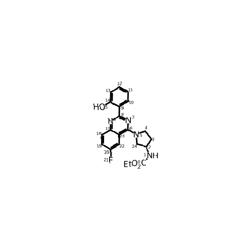 CCOC(=O)N[C@@H]1CCN(c2nc(-c3ccccc3O)nc3ccc(F)cc23)C1